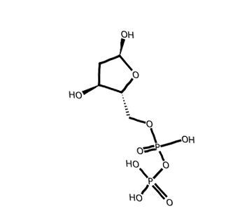 O=P(O)(O)OP(=O)(O)OC[C@H]1O[C@H](O)C[C@@H]1O